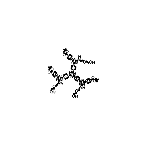 CC(C)(C)OC(=O)N1CCN(c2nc(NCCOCCO)nc(N3CCN(c4nc(N5CCN(c6nc(NCCOCCO)nc(N7CCN(C(=O)OC(C)(C)C)CC7)n6)CC5)nc(N5CCN(c6nc(NCCOCCO)nc(N7CCN(C(=O)OC(C)(C)C)CC7)n6)CC5)n4)CC3)n2)CC1